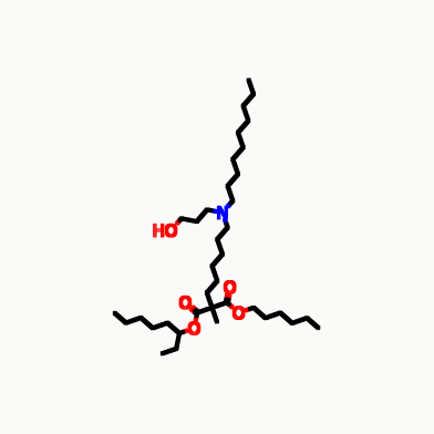 CCCCCCCCCCN(CCCO)CCCCCCC(C)(C(=O)OCCCCCC)C(=O)OC(CC)CCCCC